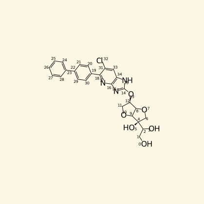 OCC(O)[C@@]1(O)COC2C1OC[C@H]2Oc1nc2nc(-c3ccc(-c4ccccc4)cc3)c(Cl)cc2[nH]1